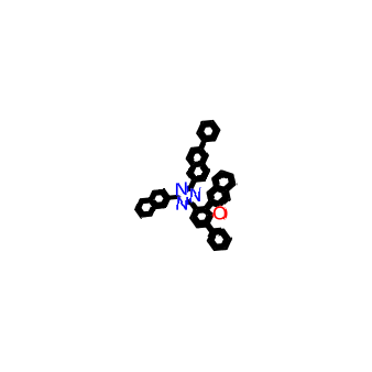 c1ccc(-c2ccc3cc(-c4nc(-c5ccc6ccccc6c5)nc(-c5ccc(-c6ccccc6)c6oc7cc8ccccc8cc7c56)n4)ccc3c2)cc1